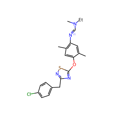 CCN(C)/C=N/c1cc(C)c(Oc2nc(Cc3ccc(Cl)cc3)ns2)cc1C